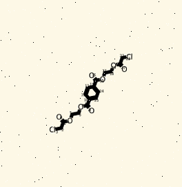 O=C(CCl)OCCOC(=O)c1ccc(C(=O)OCCOC(=O)CCl)cc1